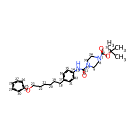 CC(C)(C)OC(=O)N1CCN(C(=O)Nc2ccc(CCCCCCOc3ccccc3)cc2)CC1